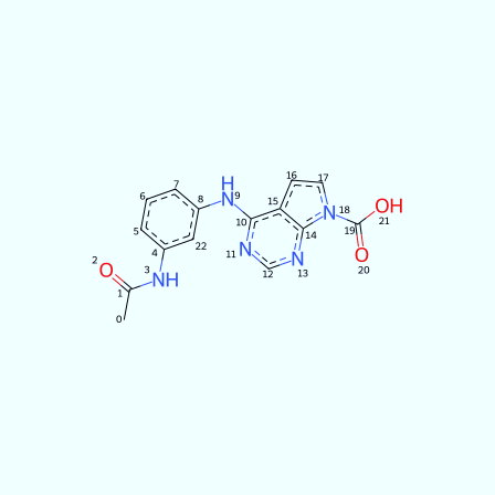 CC(=O)Nc1cccc(Nc2ncnc3c2ccn3C(=O)O)c1